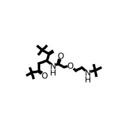 C=C(C(CC(=O)C(C)(C)C)NC(=O)COCCNC(C)(C)C)C(C)(C)C